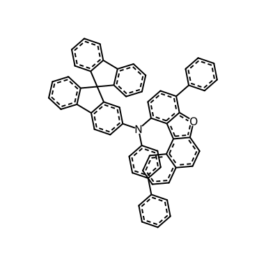 c1ccc(-c2ccc(N(c3ccc4c(c3)C3(c5ccccc5-c5ccccc53)c3ccccc3-4)c3ccc(-c4ccccc4)c4oc5ccc6ccccc6c5c34)cc2)cc1